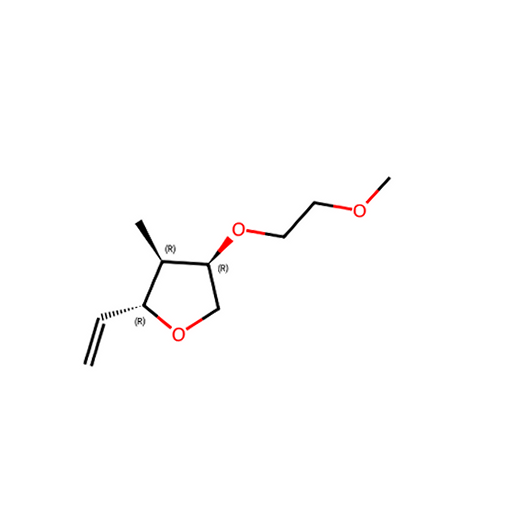 C=C[C@H]1OC[C@H](OCCOC)[C@@H]1C